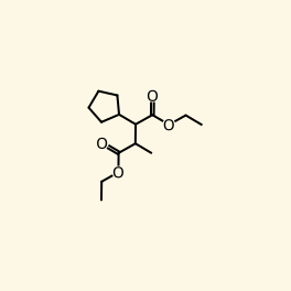 CCOC(=O)C(C)C(C(=O)OCC)C1CCCC1